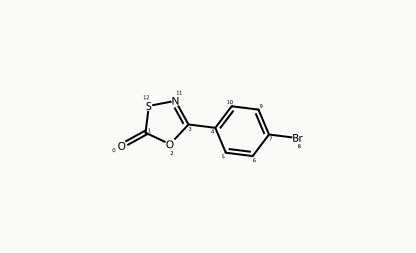 O=c1oc(-c2ccc(Br)cc2)ns1